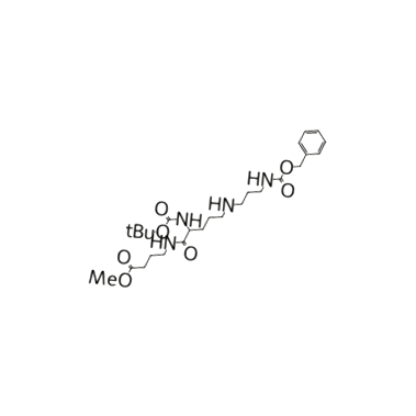 COC(=O)CCCNC(=O)C(CCCNCCCNC(=O)OCc1ccccc1)NC(=O)OC(C)(C)C